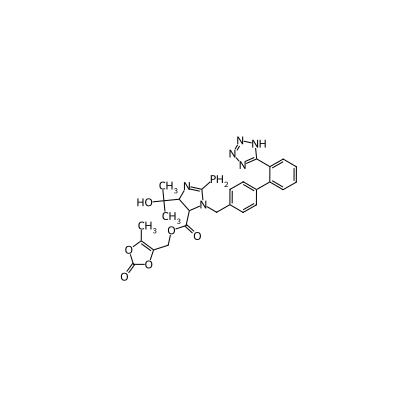 Cc1oc(=O)oc1COC(=O)C1C(C(C)(C)O)N=C(P)N1Cc1ccc(-c2ccccc2-c2nnn[nH]2)cc1